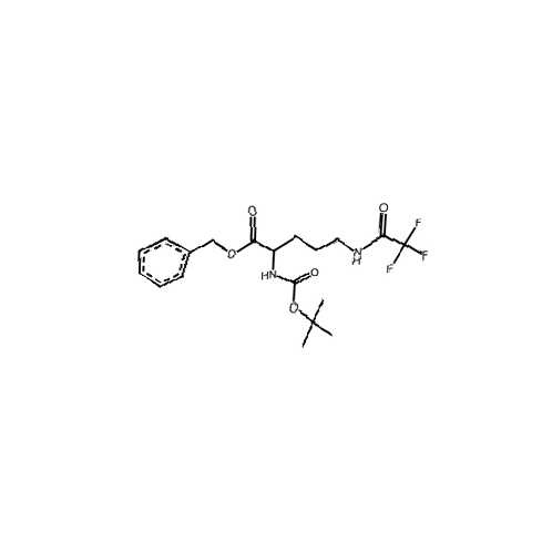 CC(C)(C)OC(=O)NC(CCCNC(=O)C(F)(F)F)C(=O)OCc1ccccc1